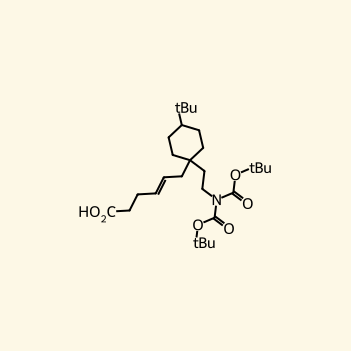 CC(C)(C)OC(=O)N(CCC1(CC=CCCC(=O)O)CCC(C(C)(C)C)CC1)C(=O)OC(C)(C)C